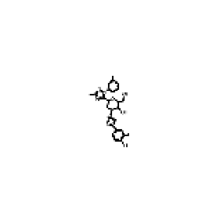 Cc1nc(C2CC(n3cc(-c4ccc(Cl)c(F)c4)nn3)C(O)C(CO)O2)n(-c2cccc(Cl)c2)n1